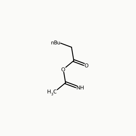 CCCCCC(=O)OC(C)=N